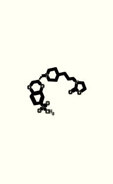 CS(=O)(=O)c1ccc2c(c1)O[C@@H](CN1CCC(CCCN3CCOC3=O)CC1)CO2